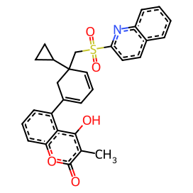 Cc1c(O)c2c(C3=CC=CC(CS(=O)(=O)c4ccc5ccccc5n4)(C4CC4)C3)cccc2oc1=O